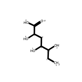 CCC(O)C(O)CC(O)C(=O)O